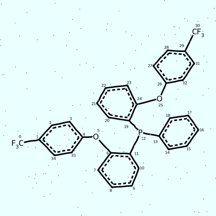 FC(F)(F)c1ccc(Oc2ccccc2P(c2ccccc2)c2ccccc2Oc2ccc(C(F)(F)F)cc2)cc1